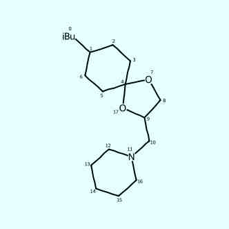 CCC(C)C1CCC2(CC1)OCC(CN1CCCCC1)O2